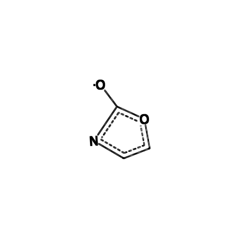 [O]c1ncco1